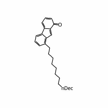 CCCCCCCCCCCCCCCCCCc1cccc2c1C=C1C(=O)C=CC=C12